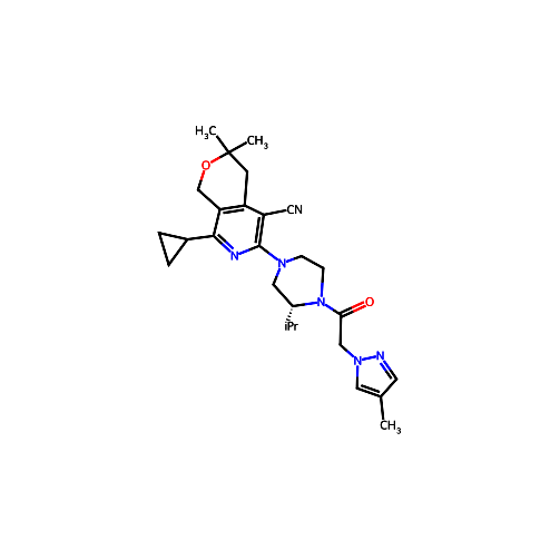 Cc1cnn(CC(=O)N2CCN(c3nc(C4CC4)c4c(c3C#N)CC(C)(C)OC4)C[C@H]2C(C)C)c1